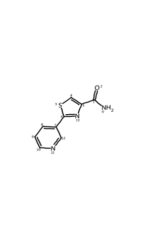 NC(=O)c1csc(-c2cccnc2)n1